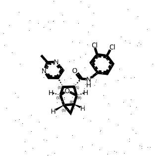 Cc1ncc([C@H]2[C@H]3O[C@H]([C@@H]4C[C@@H]43)[C@H]2C(=O)Nc2ccc(Cl)c(Cl)c2)cn1